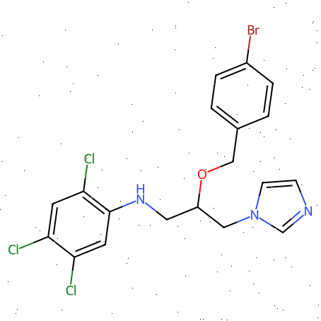 Clc1cc(Cl)c(NCC(Cn2ccnc2)OCc2ccc(Br)cc2)cc1Cl